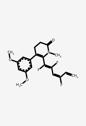 C=C/C(F)=C\C(F)=C(/F)C1=C(c2cc(OC)cc(OC)c2)CCC(=O)N1C